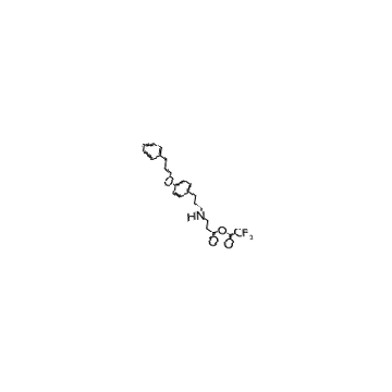 O=C(CCNCCCc1ccc(OCCCc2ccccc2)cc1)OC(=O)C(F)(F)F